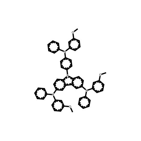 COc1cccc(N(c2ccccc2)c2ccc(-n3c4ccc(N(c5ccccc5)c5cccc(OC)c5)cc4c4cc(N(c5ccccc5)c5cccc(OC)c5)ccc43)cc2)c1